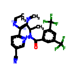 C=N/C(=C(\N=C/C)c1ccc(C#N)cn1)C(C)NC(=O)c1cc(C(F)(F)F)cc(C(F)(F)F)c1